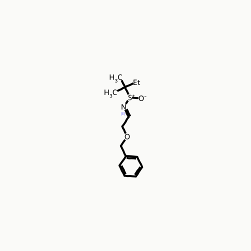 CCC(C)(C)[S+]([O-])/N=C/COCc1ccccc1